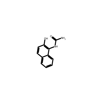 NC(=O)Nc1c(O)ccc2ccccc12